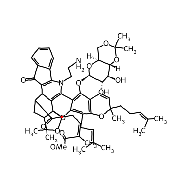 COC(=O)/C(C)=C\CC12OC(C)(C)C3CC(C1=O)C1C4=C(c5ccccc5C4=O)N(CCN)C4=C1C32Oc1c(CC=C(C)C)c2c(c(O[C@H]3O[C@H]5COC(C)(C)O[C@@H]5[C@@H](O)[C@@H]3O)c14)C=CC(C)(CCC=C(C)C)O2